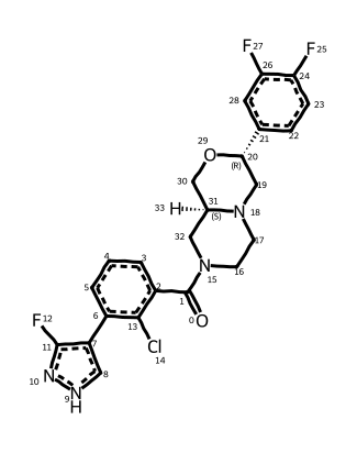 O=C(c1cccc(-c2c[nH]nc2F)c1Cl)N1CCN2C[C@@H](c3ccc(F)c(F)c3)OC[C@@H]2C1